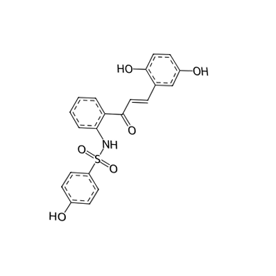 O=C(/C=C/c1cc(O)ccc1O)c1ccccc1NS(=O)(=O)c1ccc(O)cc1